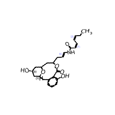 CC/C=C\C=C/C(=O)N/C=C/CC1CC2C[C@H](O)C[C@H](Cc3cccc(O)c3C(=O)O1)O2